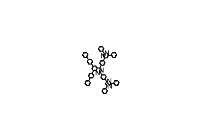 c1ccc(-c2ccc(-c3cc(-c4ccc(-c5ccccc5)cc4)c4nc(-c5ccc(-c6cc(-c7ccccc7)nc(-c7ccccc7)n6)cc5)nc(-c5ccc(-c6cc(-c7ccccc7)nc(-c7ccccc7)n6)cc5)c4c3)cc2)cc1